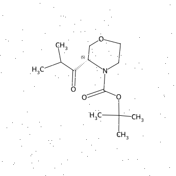 CC(C)C(=O)[C@@H]1COCCN1C(=O)OC(C)(C)C